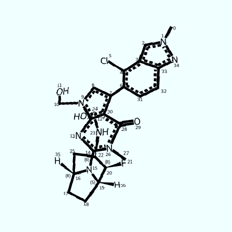 Cn1cc2c(Cl)c(-c3cn(CO)c4nc(N5[C@@H]6CC[C@H]5[C@H](F)[C@H](NC(=O)O)C6)n(C)c(=O)c34)ccc2n1